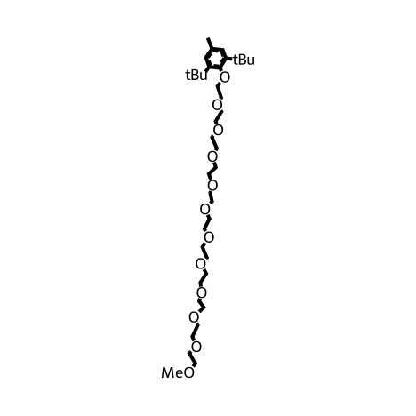 COCCOCCOCCOCCOCCOCCOCCOCCOCCOCCOCCOc1c(C(C)(C)C)cc(C)cc1C(C)(C)C